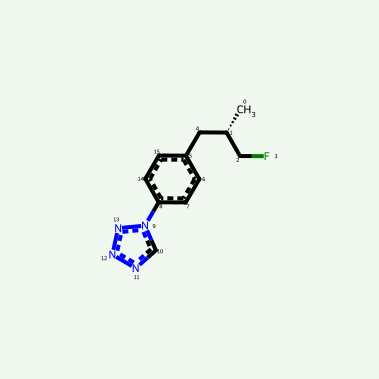 C[C@H](CF)Cc1ccc(-n2cnnn2)cc1